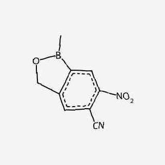 CB1OCc2cc(C#N)c([N+](=O)[O-])cc21